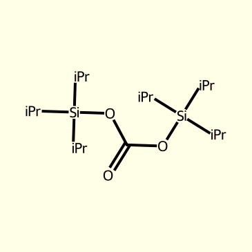 CC(C)[Si](OC(=O)O[Si](C(C)C)(C(C)C)C(C)C)(C(C)C)C(C)C